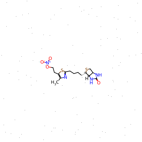 Cc1nc(CCCC[C@@H]2SCC3NC(=O)N[C@@H]32)sc1CCO[N+](=O)[O-]